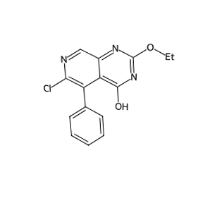 CCOc1nc(O)c2c(-c3ccccc3)c(Cl)ncc2n1